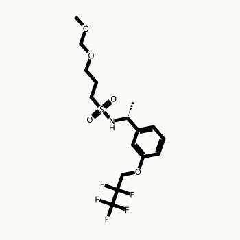 COCOCCCS(=O)(=O)N[C@H](C)c1cccc(OCC(F)(F)C(F)(F)F)c1